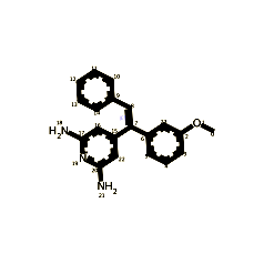 COc1cccc(/C(=C/c2ccccc2)c2cc(N)nc(N)c2)c1